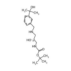 CC(C)(C)OC(=O)NC[C@H](O)CNCc1cccc(C(C)(C)O)c1